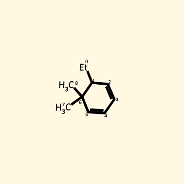 CCC1C=CC=CC1(C)C